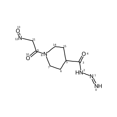 N=NNC(=O)C1CCN(C(=O)CN=O)CC1